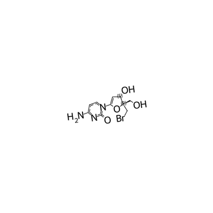 Nc1ccn(C2=C[C@H](O)[C@](CO)(CBr)O2)c(=O)n1